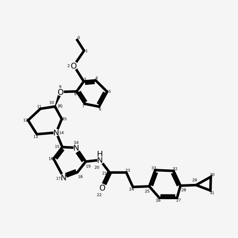 CCOc1ccccc1O[C@@H]1CCCN(c2cncc(NC(=O)CCc3ccc(C4CC4)cc3)n2)C1